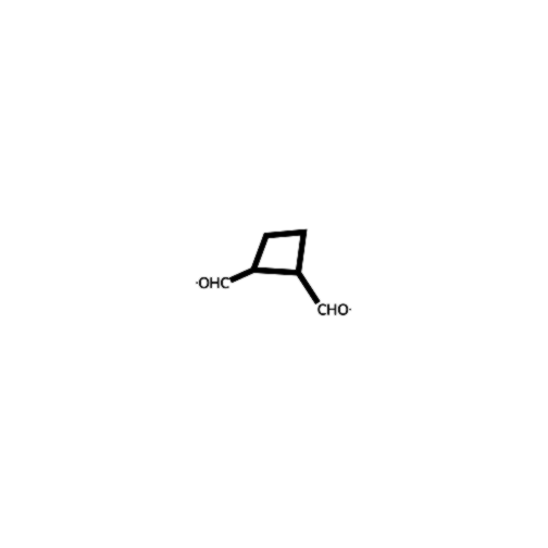 O=[C]C1CCC1[C]=O